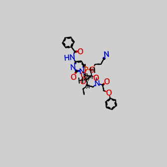 CC[C@@]12CN(C(=O)COc3ccccc3)O[C@@H]([C@H](n3ccc(NC(=O)c4ccccc4)nc3=O)O1)[C@@H]2OP(C)OCCC#N